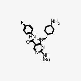 CCCCNc1ncc(C(=O)Nc2ccc(F)cc2)c(NC[C@H]2CC[C@H](N)CC2)n1